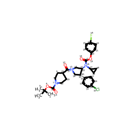 CC(C)(C)OC(=O)N1CCC(C(=O)N2C[C@@H](N(C(=O)Oc3ccc(F)cc3)C3CC3)[C@H](c3ccc(Cl)cc3)C2)CC1